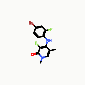 Cc1cn(C)c(=O)c(F)c1Nc1ccc(Br)cc1F